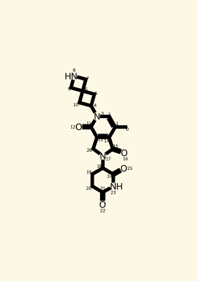 Cc1cn(C2CC3(CNC3)C2)c(=O)c2c1C(=O)N(C1CCC(=O)NC1=O)C2